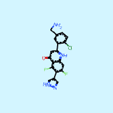 NCc1ccc(Cl)c(-c2cc(=O)c3c(F)c(-c4cn[nH]c4)c(F)cc3[nH]2)c1